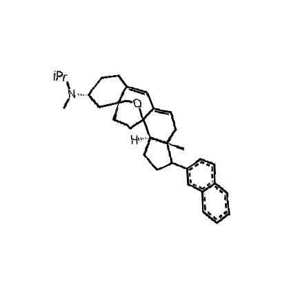 CC(C)N(C)[C@@H]1CCC2=CC3=CC[C@]4(C)C(c5ccc6ccccc6c5)CC[C@H]4C34CC[C@]2(C1)O4